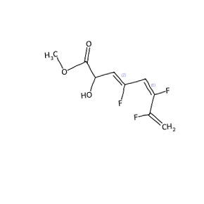 C=C(F)/C(F)=C\C(F)=C\C(O)C(=O)OC